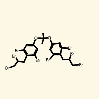 CC(C)(Oc1cc(Br)c(CC(Br)CBr)c(Br)c1)Oc1cc(Br)c(CC(Br)CBr)c(Br)c1